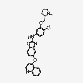 CN1CCCC1COc1cc(Nc2nc3cc(Oc4ccnc5ccccc45)ccc3o2)ccc1Cl